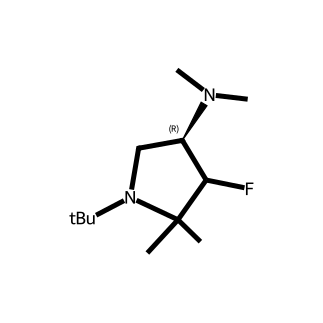 CN(C)[C@@H]1CN(C(C)(C)C)C(C)(C)C1F